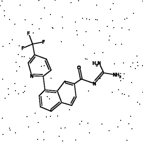 NC(N)=NC(=O)c1ccc2cccc(-c3ccc(C(F)(F)F)cn3)c2c1